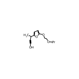 CC(C)OCCOc1ccc(C(C)C#CO)o1